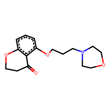 O=C1CCOc2cccc(OCCCN3CCOCC3)c21